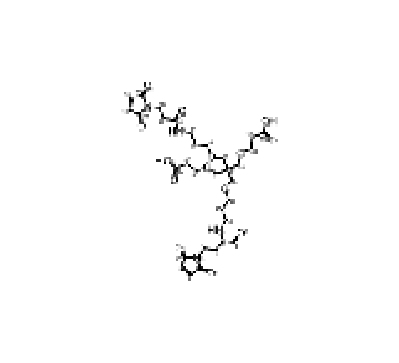 O=CC(CCN1C(=O)C=CC1=O)NCCCOCC(COCCCNC(=O)CCN1C(=O)C=CC1=O)(COCCC(=O)O)COCCC(=O)O